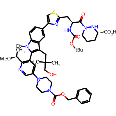 CCn1c(-c2cc(N3CCN(C(=O)OCc4ccccc4)CC3)cnc2[C@H](C)OC)c(CC(C)(C)CO)c2cc(-c3csc(C[C@H](NC(=O)OC(C)(C)C)C(=O)N4CCC[C@@H](C(=O)O)N4)n3)ccc21